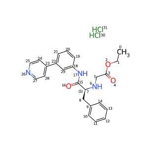 CCOC(=O)CN[C@@H](Cc1ccccc1)C(=O)Nc1cccc(-c2ccncc2)c1.Cl.Cl